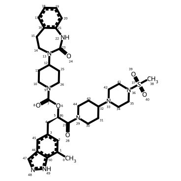 Cc1cc(C[C@@H](OC(=O)N2CCC(N3CCc4ccccc4NC3=O)CC2)C(=O)N2CCC(N3CCN(S(C)(=O)=O)CC3)CC2)cc2cn[nH]c12